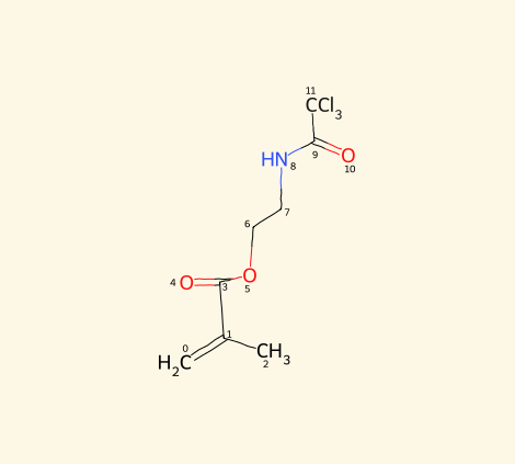 C=C(C)C(=O)OCCNC(=O)C(Cl)(Cl)Cl